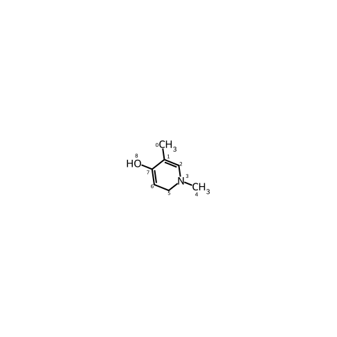 CC1=CN(C)CC=C1O